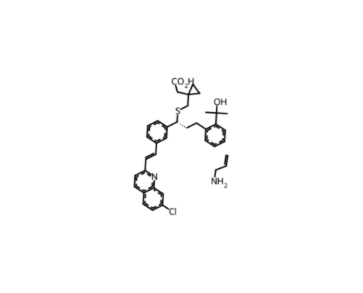 C=CCN.CC(C)(O)c1ccccc1CC[C@@H](SCC1(CC(=O)O)CC1)c1cccc(C=Cc2ccc3ccc(Cl)cc3n2)c1